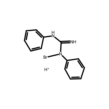 N=C(Nc1ccccc1)N(Br)c1ccccc1.[H+]